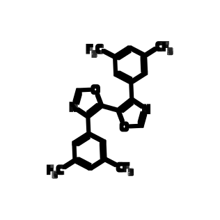 FC(F)(F)c1cc(-c2ncoc2-c2ocnc2-c2cc(C(F)(F)F)cc(C(F)(F)F)c2)cc(C(F)(F)F)c1